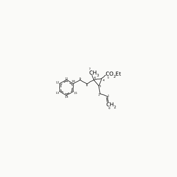 C=CCC1C(C(=O)OCC)C1(C)CCc1ccccc1